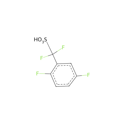 O=S(=O)(O)C(F)(F)c1cc(F)ccc1F